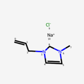 C=CCN1C=CN(C)C1.[Cl-].[Na+]